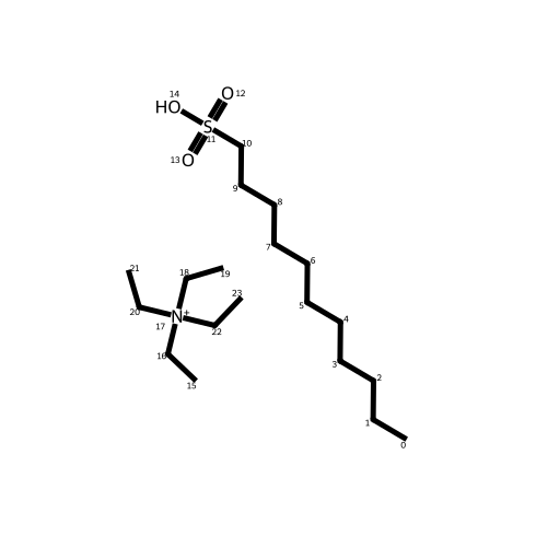 CCCCCCCCCCCS(=O)(=O)O.CC[N+](CC)(CC)CC